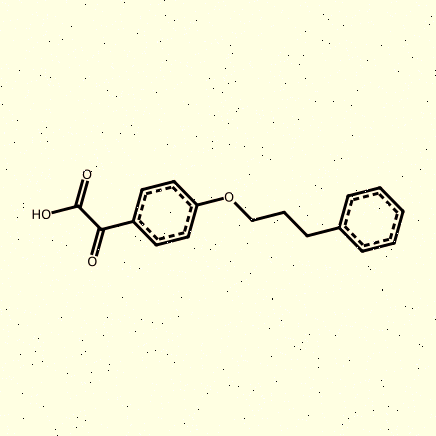 O=C(O)C(=O)c1ccc(OCCCc2ccccc2)cc1